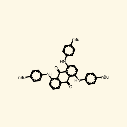 CCCCc1ccc(Nc2cccc3c2C(=O)c2c(Nc4ccc(CCCC)cc4)ccc(Nc4ccc(CCCC)cc4)c2C3=O)cc1